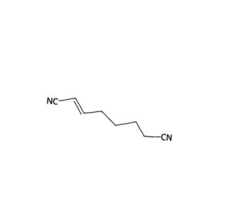 N#C/C=C/CCCCC#N